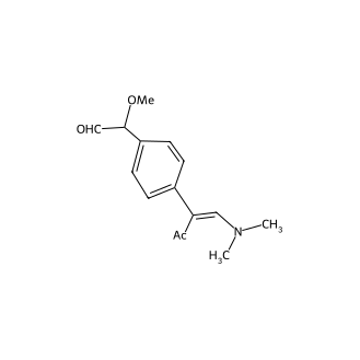 COC(C=O)c1ccc(C(=CN(C)C)C(C)=O)cc1